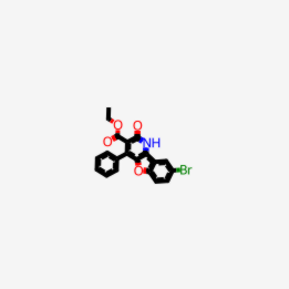 CCOC(=O)c1c(-c2ccccc2)c2oc3ccc(Br)cc3c2[nH]c1=O